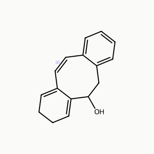 OC1Cc2ccccc2/C=C\C2=CCCC=C21